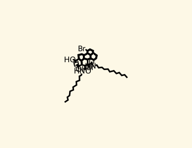 CCCCCCCCCCCCNC(=O)C1C(C(=O)O)=c2c(C(=O)O)ccc3c2c(c2cccc4ccc(Br)c3c42)C1(Br)C(=O)NCCCCCCCCCCCC